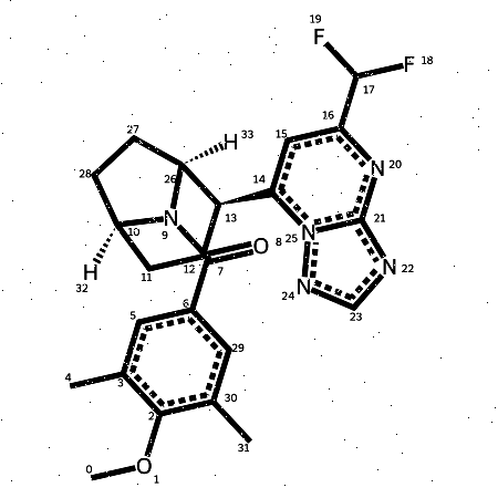 COc1c(C)cc(C(=O)N2[C@H]3CC[C@H](c4cc(C(F)F)nc5ncnn45)[C@@H]2CC3)cc1C